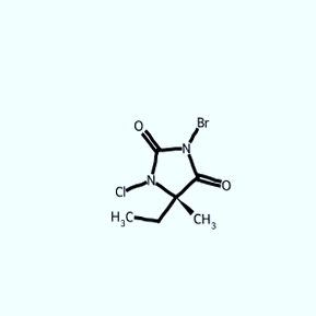 CC[C@@]1(C)C(=O)N(Br)C(=O)N1Cl